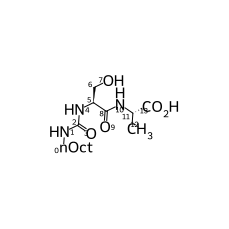 CCCCCCCCNC(=O)N[C@@H](CO)C(=O)N[C@@H](C)C(=O)O